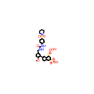 COc1ccc(CNC(=O)Nc2ccc(S(=O)(=O)N3CCCCC3)cc2)cc1-c1ccc2cc(S(=O)(=O)O)cc(SOOO)c2c1